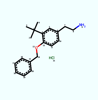 CC(C)(C)c1cc(CCN)ccc1OCc1ccccc1.Cl